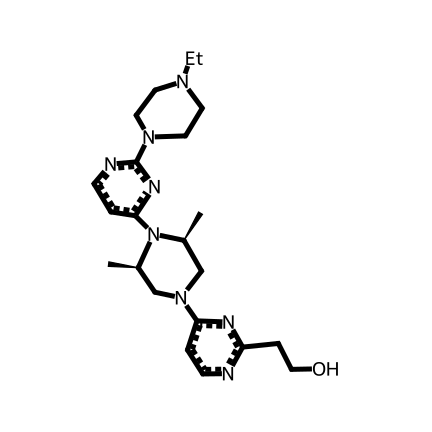 CCN1CCN(c2nccc(N3[C@H](C)CN(c4ccnc(CCO)n4)C[C@@H]3C)n2)CC1